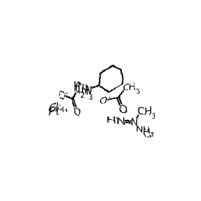 CC(=O)[O-].CC(=O)[O-].CN=N.N.NC1CCCCC1.[Cl-].[Cl-].[Pt+4]